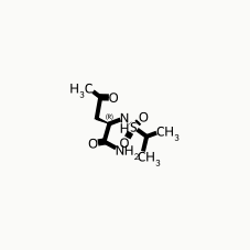 CC(=O)C[C@@H](NS(=O)(=O)C(C)C)C(N)=O